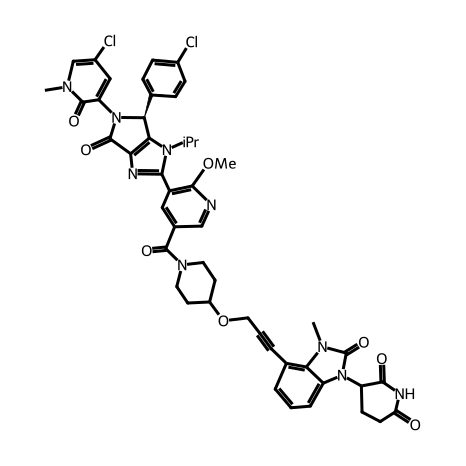 COc1ncc(C(=O)N2CCC(OCC#Cc3cccc4c3n(C)c(=O)n4C3CCC(=O)NC3=O)CC2)cc1-c1nc2c(n1C(C)C)[C@H](c1ccc(Cl)cc1)N(c1cc(Cl)cn(C)c1=O)C2=O